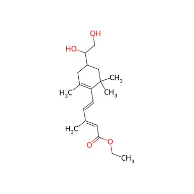 CCOC(=O)C=C(C)C=CC1=C(C)CC(C(O)CO)CC1(C)C